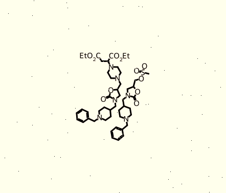 CCOC(=O)CC(C(=O)OCC)N1CCN(CC2CN(CC3CCN(Cc4ccccc4)CC3)C(=O)O2)CC1.CS(=O)(=O)OCC1CN(CC2CCN(Cc3ccccc3)CC2)C(=O)O1